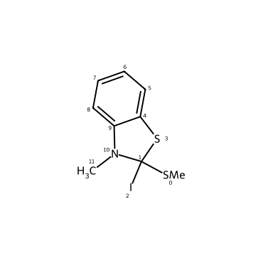 CSC1(I)Sc2ccccc2N1C